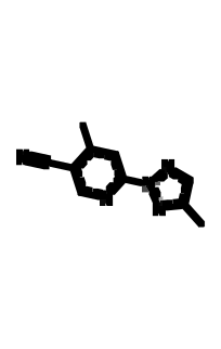 Cc1cnn(-c2cc(C)c(C#N)cn2)n1